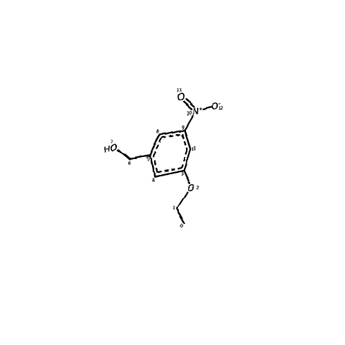 CCOc1cc(CO)cc([N+](=O)[O-])c1